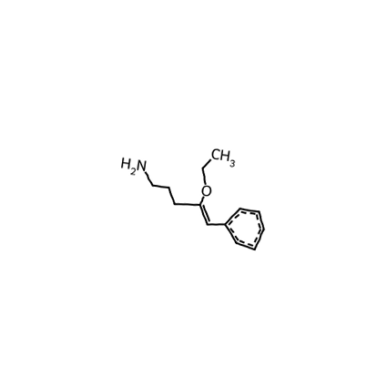 CCOC(=Cc1ccccc1)CCCN